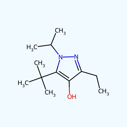 CCc1nn(C(C)C)c(C(C)(C)C)c1O